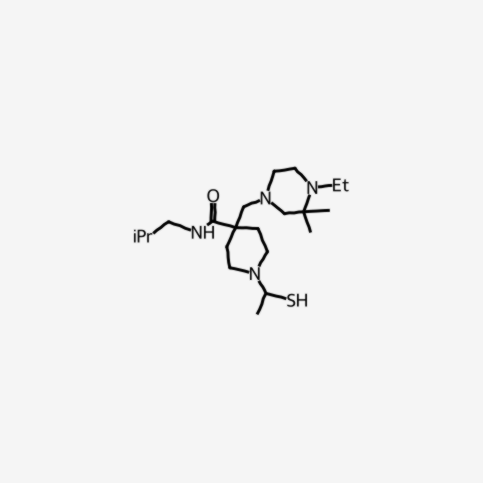 CCN1CCN(CC2(C(=O)NCC(C)C)CCN(C(C)S)CC2)CC1(C)C